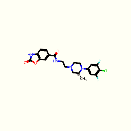 C[C@@H]1CN(CCNC(=O)c2ccc3[nH]c(=O)oc3c2)CCN1c1cc(F)c(Cl)c(F)c1